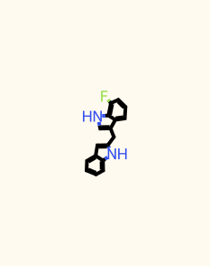 Fc1cccc2c(Cc3cc4ccccc4[nH]3)c[nH]c12